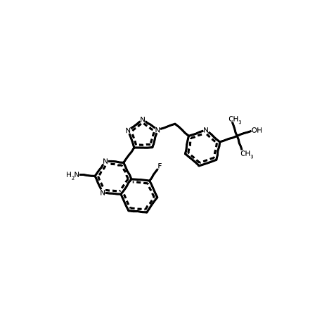 CC(C)(O)c1cccc(Cn2cc(-c3nc(N)nc4cccc(F)c34)nn2)n1